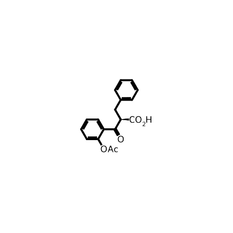 CC(=O)Oc1ccccc1C(=O)[C@@H](Cc1ccccc1)C(=O)O